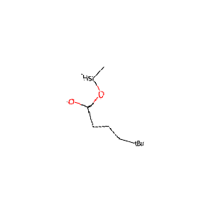 C[SiH](C)OC([O])CCCC(C)(C)C